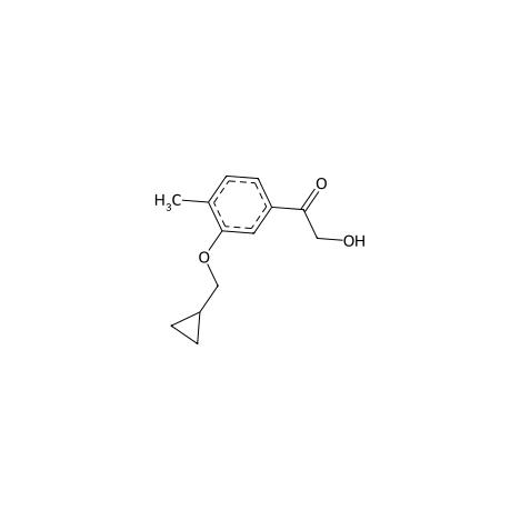 Cc1ccc(C(=O)CO)cc1OCC1CC1